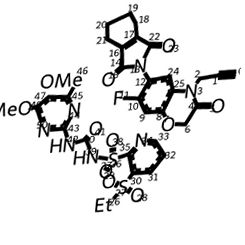 C#CCN1C(=O)COc2cc(F)c(N3C(=O)C4=C(CCCC4)C3=O)cc21.CCS(=O)(=O)c1cccnc1S(=O)(=O)NC(=O)Nc1nc(OC)cc(OC)n1